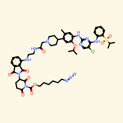 Cc1cc(Nc2ncc(Cl)c(Nc3ccccc3S(=O)(=O)C(C)C)n2)c(OC(C)C)cc1C1CCN(CC(=O)NCCNc2cccc3c2C(=O)N(C2CCC(=O)N(C(=O)OCCCCCCN=[N+]=[N-])C2=O)C3=O)CC1